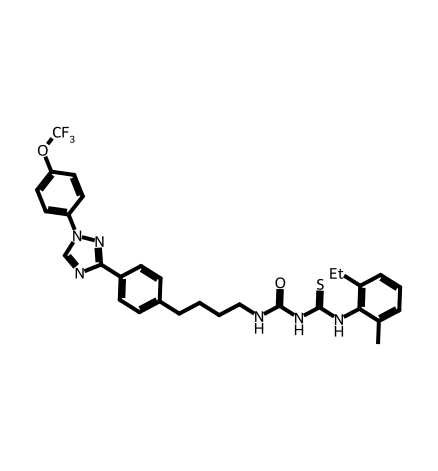 CCc1cccc(C)c1NC(=S)NC(=O)NCCCCc1ccc(-c2ncn(-c3ccc(OC(F)(F)F)cc3)n2)cc1